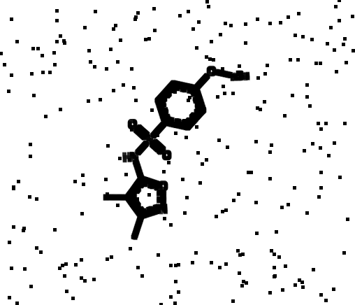 CCCCOc1ccc(S(=O)(=O)Nc2onc(C)c2C)cc1